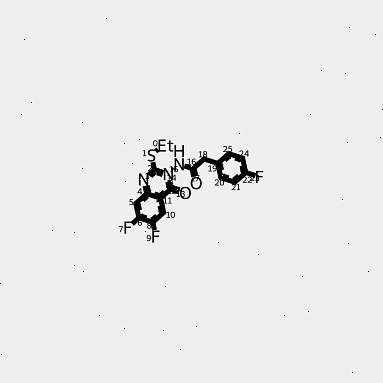 CCSc1nc2cc(F)c(F)cc2c(=O)n1NC(=O)Cc1ccc(F)cc1